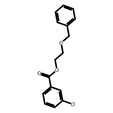 O=C(OCCOCc1ccccc1)c1cccc(Cl)c1